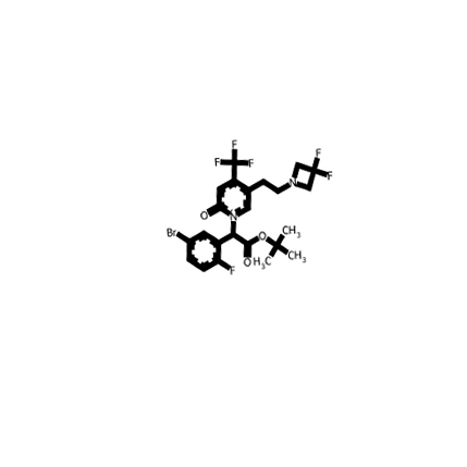 CC(C)(C)OC(=O)C(c1cc(Br)ccc1F)n1cc(CCN2CC(F)(F)C2)c(C(F)(F)F)cc1=O